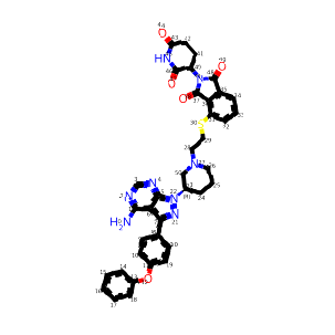 Nc1ncnc2c1c(-c1ccc(Oc3ccccc3)cc1)nn2[C@@H]1CCCN(CCSc2cccc3c2C(=O)N(C2CCC(=O)NC2=O)C3=O)C1